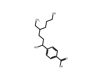 CCC(CCCO)CCC(O)c1ccc(C(=O)O)cc1